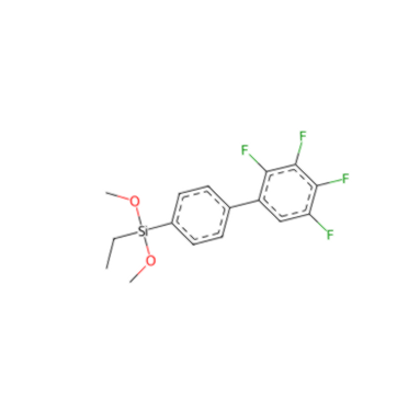 CC[Si](OC)(OC)c1ccc(-c2cc(F)c(F)c(F)c2F)cc1